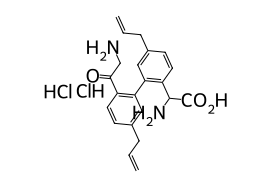 C=CCc1ccc(C(=O)CN)c(-c2cc(CC=C)ccc2C(N)C(=O)O)c1.Cl.Cl